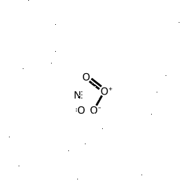 O=[O+][O-].[N].[O]